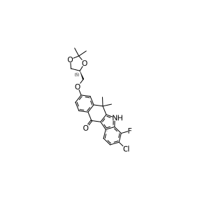 CC1(C)OC[C@H](COc2ccc3c(c2)C(C)(C)c2[nH]c4c(F)c(Cl)ccc4c2C3=O)O1